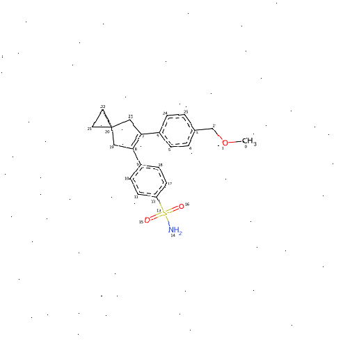 COCc1ccc(C2=C(c3ccc(S(N)(=O)=O)cc3)CC3(CC3)C2)cc1